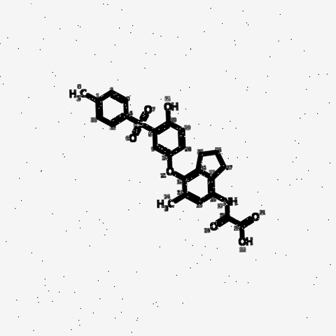 Cc1ccc(S(=O)(=O)c2cc(Oc3c(C)cc(NC(=O)C(=O)O)c4c3CCC4)ccc2O)cc1